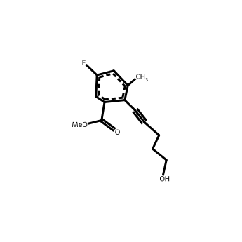 COC(=O)c1cc(F)cc(C)c1C#CCCCO